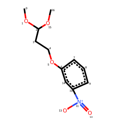 COC(CCOc1cccc([N+](=O)[O-])c1)OC